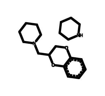 C1CCNCC1.c1ccc2c(c1)OCC(CN1CCCCC1)O2